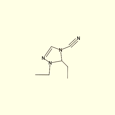 CCC1N(C#N)C=NN1CC